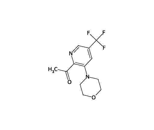 CC(=O)c1ncc(C(F)(F)F)cc1N1CCOCC1